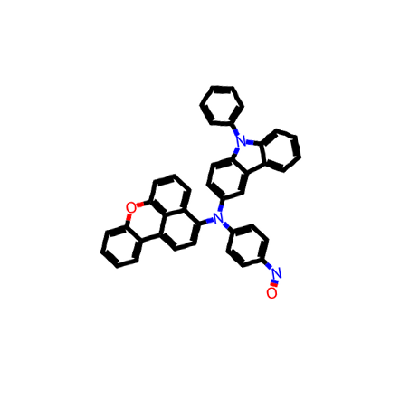 O=Nc1ccc(N(c2ccc3c(c2)c2ccccc2n3-c2ccccc2)c2ccc3c4c(cccc24)Oc2ccccc2-3)cc1